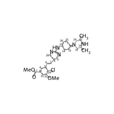 COC(=O)c1cc(/C=C/c2cnc(Nc3ccc(N4C[C@@H](C)N[C@@H](C)C4)cc3)nc2)c(Cl)c(OC)c1